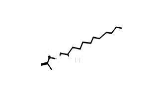 C=C(C)C(=O)OCC(O)CCCCCCCCCC